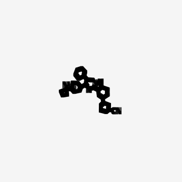 N#Cc1cccc(-c2ccc3nn4cc(-c5ccccc5)c(-c5ccc(C6(N)CCC6)cc5)nc4c3c2)c1